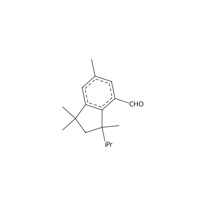 Cc1cc(C=O)c2c(c1)C(C)(C)CC2(C)C(C)C